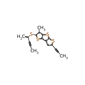 C=C(C#CC)Sc1sc2c(sc3sc(C#CC)cc32)c1C